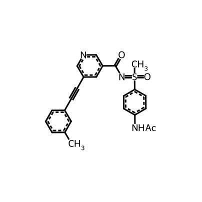 CC(=O)Nc1ccc(S(C)(=O)=NC(=O)c2cncc(C#Cc3cccc(C)c3)c2)cc1